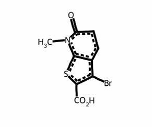 Cn1c(=O)ccc2c(Br)c(C(=O)O)sc21